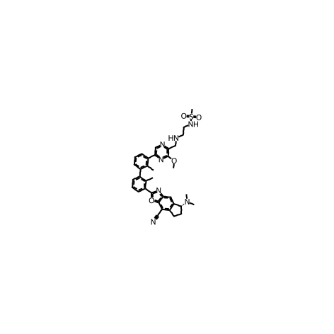 COc1nc(-c2cccc(-c3cccc(-c4nc5cc6c(c(C#N)c5o4)CC[C@H]6N(C)C)c3C)c2C)cnc1CNCCNS(C)(=O)=O